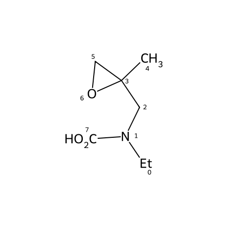 CCN(CC1(C)CO1)C(=O)O